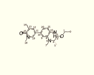 CCOC[C@H](C)N(C)c1cc(-c2cc(C)c(=O)n(C)c2)ccc1N